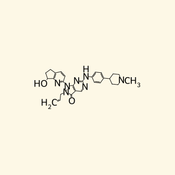 C=CCn1c(=O)c2cnc(Nc3ccc(C4CCN(C)CC4)cc3)nc2n1-c1ccc2c(n1)C(O)CC2